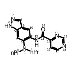 CCCN(CCC)c1cc2[nH]ncc2cc1NC(=O)c1ccncn1